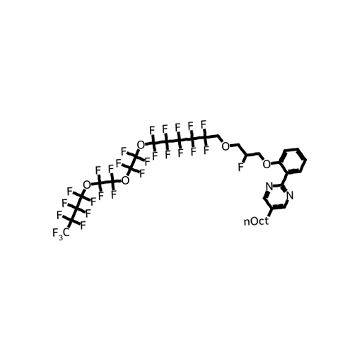 CCCCCCCCc1cnc(-c2ccccc2OCC(F)COCC(F)(F)C(F)(F)C(F)(F)C(F)(F)C(F)(F)OC(F)(F)C(F)(F)OC(F)(F)C(F)(F)OC(F)(F)C(F)(F)C(F)(F)C(F)(F)F)nc1